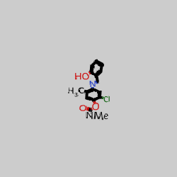 CNC(=O)Oc1cc(C)c(/N=C/c2ccccc2O)cc1Cl